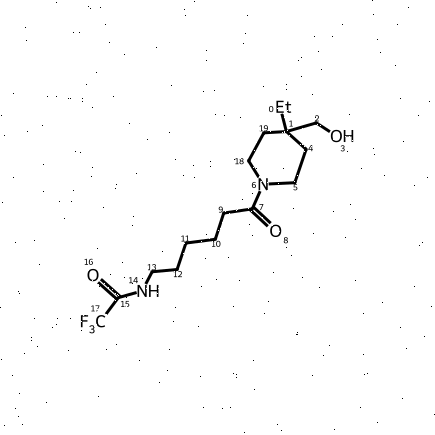 CCC1(CO)CCN(C(=O)CCCCCNC(=O)C(F)(F)F)CC1